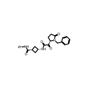 CC(C)NC(=O)[C@H]1C[C@H](NC(=O)C(=O)[C@H]2CCC(=O)N2Cc2ccccc2)C1